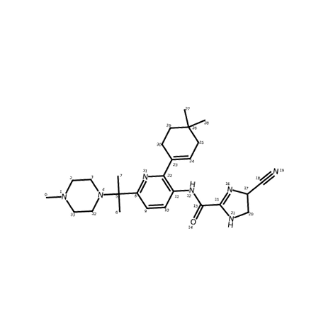 CN1CCN(C(C)(C)c2ccc(NC(=O)C3=NC(C#N)CN3)c(C3=CCC(C)(C)CC3)n2)CC1